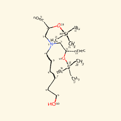 CCCCCCCCCCC(CN(CCCCCCO)CC(CCCCCCCCCC)O[Si](C)(C)C(C)(C)C)O[Si](C)(C)C(C)(C)C